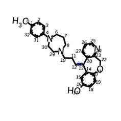 Cc1ccc(N2CCCN(CC/C=C3/c4cc(O)ccc4OCc4ncccc43)CC2)cc1